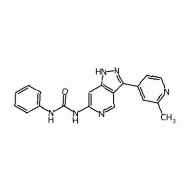 Cc1cc(-c2n[nH]c3cc(NC(=O)Nc4ccccc4)ncc23)ccn1